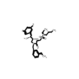 CCCCN(CC)S(=O)(=O)CCC(=O)N(Cc1cccc(CC)c1)C[C@@H](O)[C@@H](N)Cc1cc(F)cc(F)c1